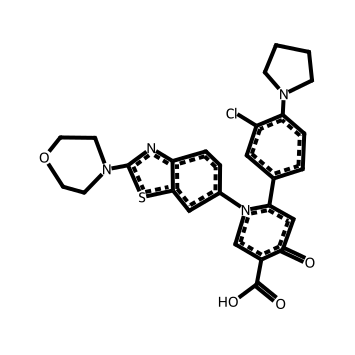 O=C(O)c1cn(-c2ccc3nc(N4CCOCC4)sc3c2)c(-c2ccc(N3CCCC3)c(Cl)c2)cc1=O